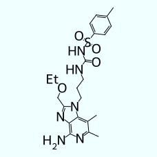 CCOCc1nc2c(N)nc(C)c(C)c2n1CCCNC(=O)NS(=O)(=O)c1ccc(C)cc1